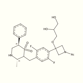 CC(=O)N1CC(OCC(O)CO)(c2cc(F)c(CC3[C@H](C)NC[C@@H](c4ccccc4)S3(=O)=O)cc2F)C1